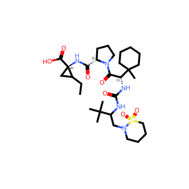 CCC1C[C@]1(NC(=O)[C@@H]1CCCN1C(=O)[C@@H](NC(=O)NC(CN1CCCCS1(=O)=O)C(C)(C)C)C1(C)CCCCC1)C(=O)O